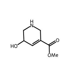 COC(=O)C1=CC(O)CNC1